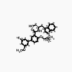 CCCOc1ccc(-c2cc(F)cc(OC)c2)cc1C(=O)N[C@@H](CO)Cc1cn(C)c2ccccc12